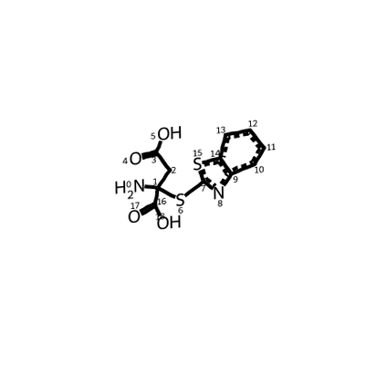 NC(CC(=O)O)(Sc1nc2ccccc2s1)C(=O)O